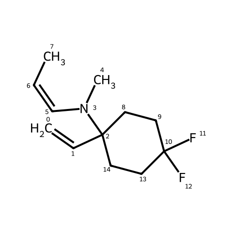 C=CC1(N(C)/C=C\C)CCC(F)(F)CC1